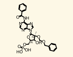 C[C@]1(OCOCc2ccccc2)C(O)[C@@H](COP(=O)(O)O)O[C@H]1n1cnc2c(NC(=O)c3ccccc3)ncnc21